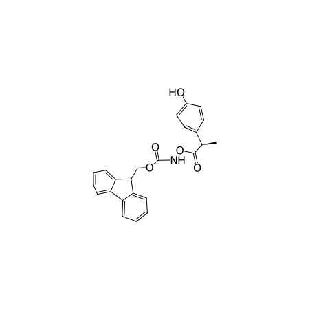 C[C@@H](C(=O)ONC(=O)OCC1c2ccccc2-c2ccccc21)c1ccc(O)cc1